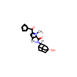 Cn1c(C(=O)c2ccccc2)cc(C#N)c1C(=O)N[C@H]1C2CC3CC1C[C@](O)(C3)C2